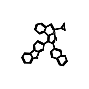 c1ccc2cc(-c3nn4c(C5CC5)cc5ccccc5c4c3-c3ccc4c(c3)sc3ccccc34)ccc2c1